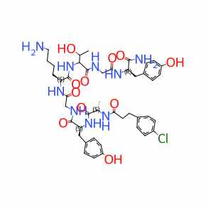 CC(O)C(NC(=O)[C@H](CCCCN)NC(=O)CNC(=O)[C@H](Cc1ccc(O)cc1)NC(=O)[C@H](C)NC(=O)CCc1ccc(Cl)cc1)C(=O)NCC(=O)N[C@H](Cc1ccc(O)cc1)C(N)=O